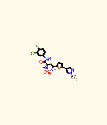 CN1[C@@H](C(=O)Nc2ccc(F)c(Cl)c2)C[C@@H](c2ccc(C3C=NN(C(F)(F)F)C3)s2)NS1(=O)=O